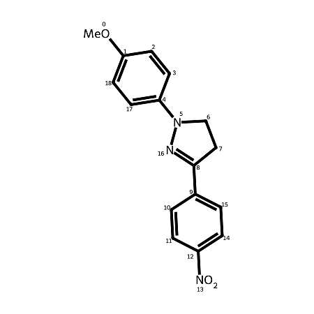 COc1ccc(N2CCC(c3ccc([N+](=O)[O-])cc3)=N2)cc1